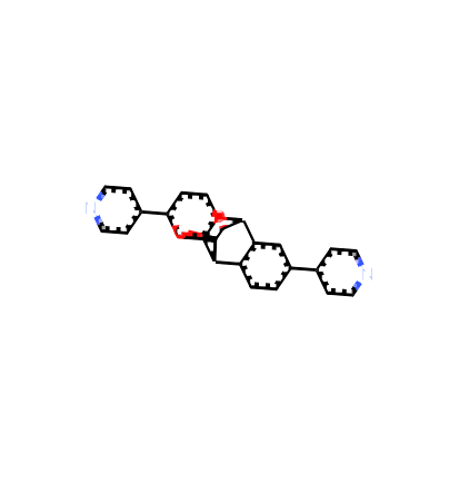 O=C1C(=O)C2c3ccc(-c4ccncc4)cc3C1c1ccc(-c3ccncc3)cc12